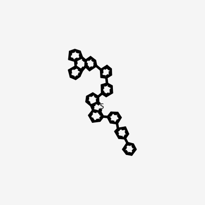 c1ccc(-c2ccc(-c3cccc(-c4cccc5c4sc4c(-c6cccc(-c7cccc(-c8ccc9c%10ccccc%10c%10ccccc%10c9c8)c7)c6)cccc45)c3)cc2)cc1